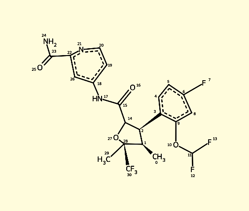 C[C@@H]1[C@H](c2ccc(F)cc2OC(F)F)C(C(=O)Nc2ccnc(C(N)=O)c2)O[C@]1(C)C(F)(F)F